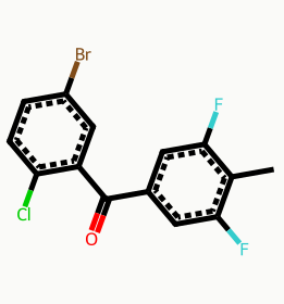 Cc1c(F)cc(C(=O)c2cc(Br)ccc2Cl)cc1F